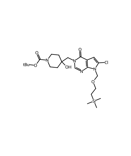 CC(C)(C)OC(=O)N1CCC(O)(Cn2cnc3c(cc(Cl)n3COCC[Si](C)(C)C)c2=O)CC1